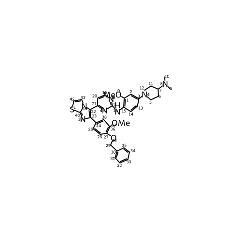 COc1cc(N2CCC(N(C)C)CC2)ccc1Nc1nccc(-c2c(-c3ccc(OCc4ccccc4)c(OC)c3)nc3sccn23)n1